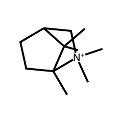 CC1(C)C2CCC1(C)[N+](C)(C)C2